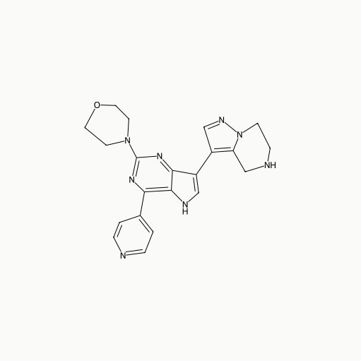 c1cc(-c2nc(N3CCOCC3)nc3c(-c4cnn5c4CNCC5)c[nH]c23)ccn1